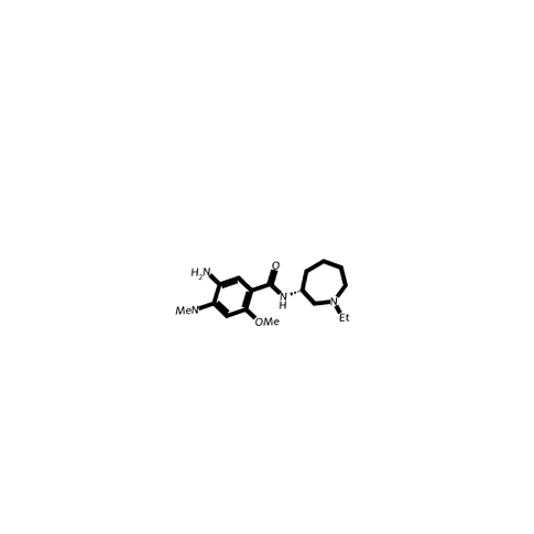 CCN1CCCC[C@@H](NC(=O)c2cc(N)c(NC)cc2OC)C1